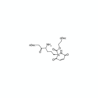 CCCCCCCCCCCCOC(=O)[C@]1(CCCC(N)C(=O)CCCCCCCCCCC)NC(=O)C=CC1=O